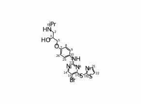 CC(C)NCC(O)COc1ccc(Nc2ncc(Br)c(Sc3nccs3)n2)cc1